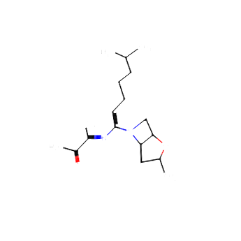 CC(=O)/C(C)=N/C(=C/CCCC(C)C)N1CC2OC(C)CC21